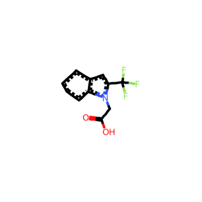 O=C(O)Cn1c(C(F)(F)F)cc2ccccc21